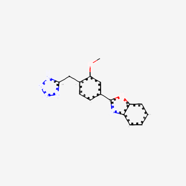 COc1cc(-c2nc3ccccc3o2)ccc1Cc1nnn[nH]1